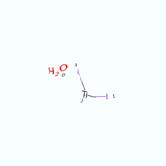 O.[I][Ti][I]